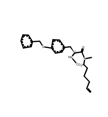 C=CCCCCN(C)C(=O)[C@H](Cc1ccc(OCc2ccccc2)cc1)NC(=O)O